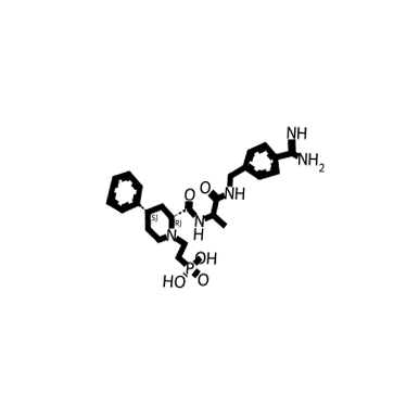 CC(NC(=O)[C@H]1C[C@@H](c2ccccc2)CCN1CCP(=O)(O)O)C(=O)NCc1ccc(C(=N)N)cc1